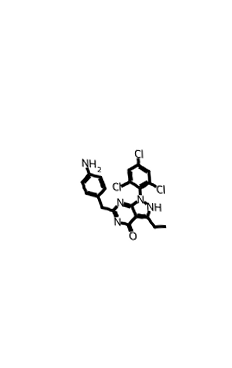 CCc1[nH]n(-c2c(Cl)cc(Cl)cc2Cl)c2nc(Cc3ccc(N)cc3)nc(=O)c1-2